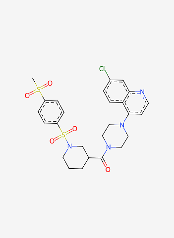 CS(=O)(=O)c1ccc(S(=O)(=O)N2CCCC(C(=O)N3CCN(c4ccnc5cc(Cl)ccc45)CC3)C2)cc1